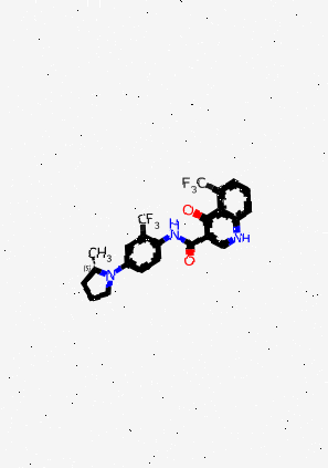 C[C@H]1CCCN1c1ccc(NC(=O)c2c[nH]c3cccc(C(F)(F)F)c3c2=O)c(C(F)(F)F)c1